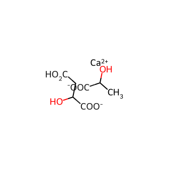 CC(O)C(=O)[O-].O=C(O)CC(O)C(=O)[O-].[Ca+2]